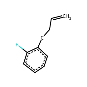 C=CCCc1[c]cccc1F